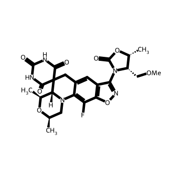 COC[C@H]1[C@@H](C)OC(=O)N1c1noc2c(F)c3c(cc12)CC1(C(=O)NC(=O)NC1=O)[C@H]1[C@H](C)O[C@H](C)CN31